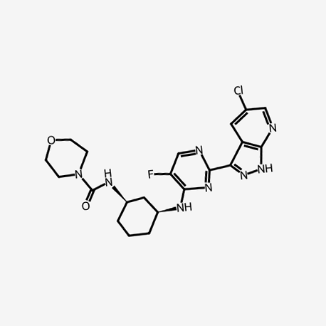 O=C(N[C@@H]1CCC[C@H](Nc2nc(-c3n[nH]c4ncc(Cl)cc34)ncc2F)C1)N1CCOCC1